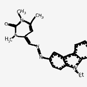 CCn1c2ccccc2c2cc(N=NC=C3C=C(C)N(C)C(=O)N3C)ccc21